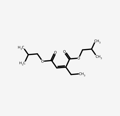 CC/C(=C/C(=O)OCC(C)C)C(=O)OCC(C)C